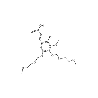 COCCOCOc1cc(C=CC(=O)O)c(Cl)c(OC)c1OCOCCOC